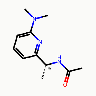 CC(=O)N[C@H](C)c1cccc(N(C)C)n1